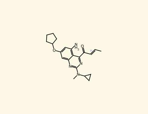 C/C=C/C(=O)c1nc(N(C)C2CC2)nc2cc(OC3CCCC3)cc(N)c12